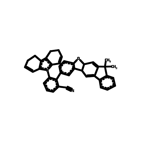 CC1(C)C2=CC3Oc4ccc(-c5c(C#N)cccc5-n5c6c(c7c5C=CCC7)CCC=C6)cc4C3C=C2c2ccccc21